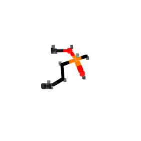 CCOP(C)(=O)CCC=O